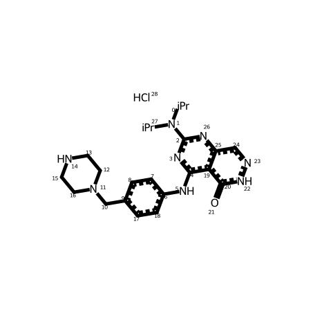 CC(C)N(c1nc(Nc2ccc(CN3CCNCC3)cc2)c2c(=O)[nH]ncc2n1)C(C)C.Cl